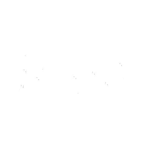 CN1C(=O)CC(C)(c2cccc(NC(=O)c3cnc(-c4nccs4)cn3)c2)N=C1N